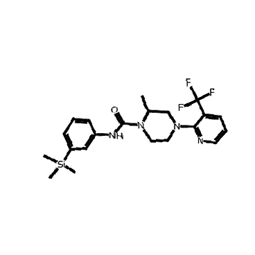 CC1CN(c2ncccc2C(F)(F)F)CCN1C(=O)Nc1cccc([Si](C)(C)C)c1